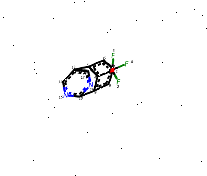 FC(F)(F)c1c2[c]ccc1-c1ncc-2cn1